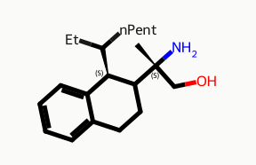 CCCCCC(CC)[C@@H]1c2ccccc2CCC1[C@](C)(N)CO